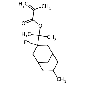 C=C(C)C(=O)OC(C)(C)C1(CC)CC2CC(C)CC(C2)C1